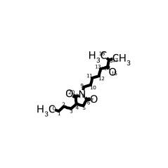 CCCCC1CC(=O)N(CCCCCC(=O)C(C)C)C1=O